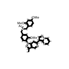 COc1ccc(CN(Cc2ccc(-n3nc(C)c4cnc(-c5cnn6cccnc56)cc43)c(OC)c2)C(C)=O)c(OC)c1